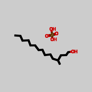 CCCCCCCCCCCC(C)CCCO.O=S(=O)(O)O